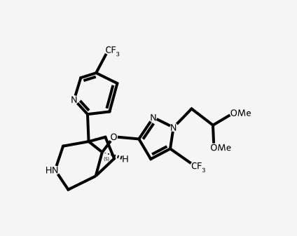 COC(Cn1nc(O[C@H]2C3CCC2(c2ccc(C(F)(F)F)cn2)CNC3)cc1C(F)(F)F)OC